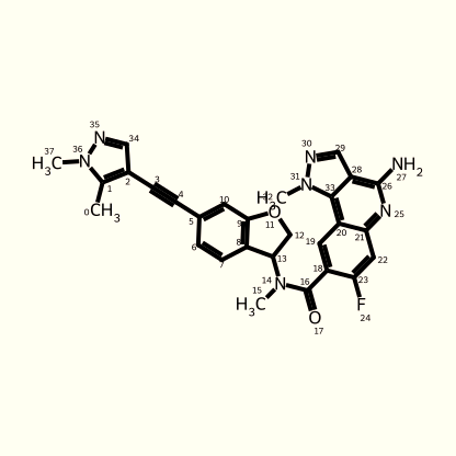 Cc1c(C#Cc2ccc3c(c2)OCC3N(C)C(=O)c2cc3c(cc2F)nc(N)c2cnn(C)c23)cnn1C